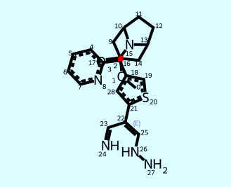 COC1(c2ccccn2)CC2CCC(C1)N2C(=O)c1csc(/C(C=N)=C/NN)c1